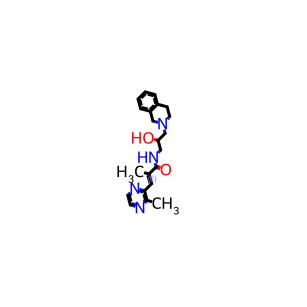 C/C(=C\c1nccnc1C)C(=O)NCC(O)CN1CCc2ccccc2C1